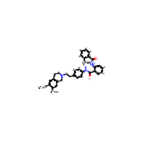 COc1cc2c(cc1OC)CN(CCc1ccc(NC(=O)c3ccccc3NC(=O)c3ccccc3OC)cc1)CC2